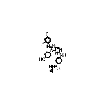 O=C(NC1CC1)[C@H]1CC[C@H](Nc2ncc3nc(Nc4ccc(F)cc4F)n([C@H]4CC[C@@H](O)CC4)c3n2)CC1